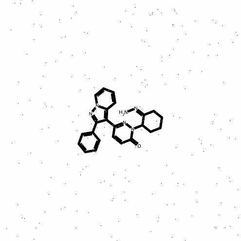 N/N=C1/CCCCC1n1nc(-c2c(-c3ccccc3)nn3ccccc23)ccc1=O